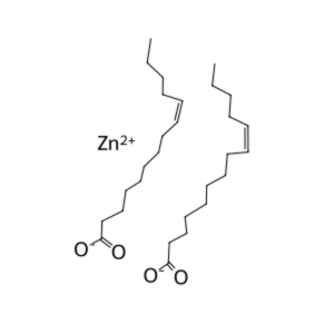 CCCC/C=C\CCCCCCCC(=O)[O-].CCCC/C=C\CCCCCCCC(=O)[O-].[Zn+2]